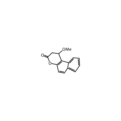 COC1CC(=O)Oc2ccc3ccccc3c21